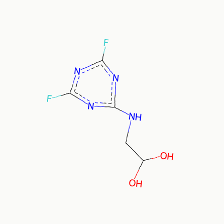 OC(O)CNc1nc(F)nc(F)n1